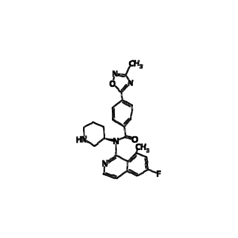 Cc1noc(-c2ccc(C(=O)N(c3nccc4cc(F)cc(C)c34)[C@@H]3CCCNC3)cc2)n1